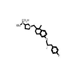 CC1=C(CN2CCC(N(C(=O)O)C(C)(C)C)C2)CCc2cc(OC[C@@H](C)Cc3ccc(F)cc3)ccc21